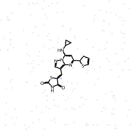 O=C1NC(=O)/C(=C/c2cnn3c(NC4CC4)cc(C4CC=CS4)nc23)S1